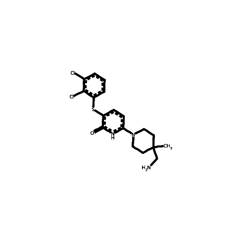 CC1(CN)CCN(c2ccc(Sc3cccc(Cl)c3Cl)c(=O)[nH]2)CC1